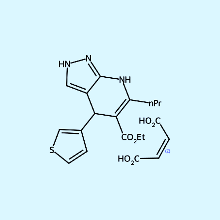 CCCC1=C(C(=O)OCC)C(c2ccsc2)c2c[nH]nc2N1.O=C(O)/C=C\C(=O)O